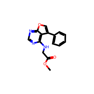 COC(=O)CNc1ncnc2occ(-c3ccccc3)c12